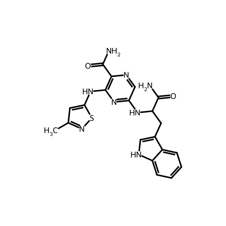 Cc1cc(Nc2nc(NC(Cc3c[nH]c4ccccc34)C(N)=O)cnc2C(N)=O)sn1